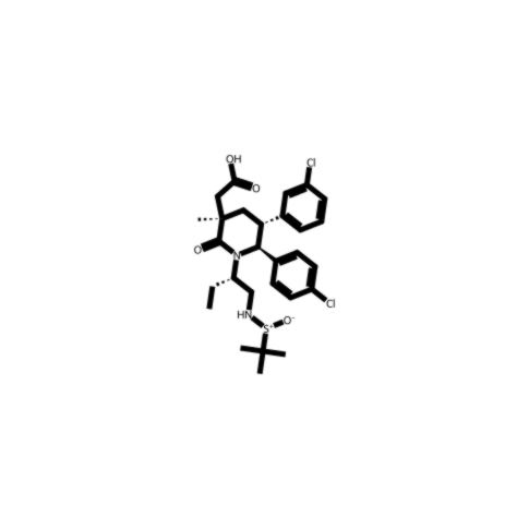 CC[C@@H](CN[S+]([O-])C(C)(C)C)N1C(=O)[C@@](C)(CC(=O)O)C[C@H](c2cccc(Cl)c2)[C@H]1c1ccc(Cl)cc1